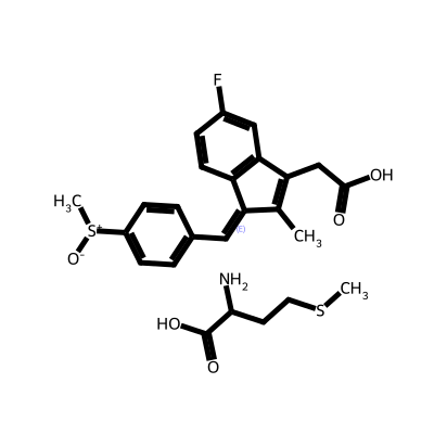 CC1=C(CC(=O)O)c2cc(F)ccc2/C1=C\c1ccc([S+](C)[O-])cc1.CSCCC(N)C(=O)O